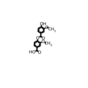 COc1cc(C(=O)Oc2ccc(C(=O)O)cc2OC)ccc1O